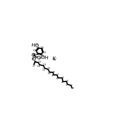 CCCCCCCCCCCCCCCCC(C)OS(=O)(=O)c1cc(O)ccc1O.[K]